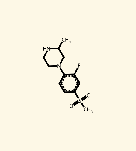 CC1CN(c2ccc(S(C)(=O)=O)cc2F)CCN1